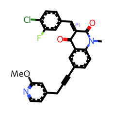 COc1cc(CC#Cc2ccc3c(c2)C(=O)/C(=C\c2ccc(Cl)c(F)c2)C(=O)N3C)ccn1